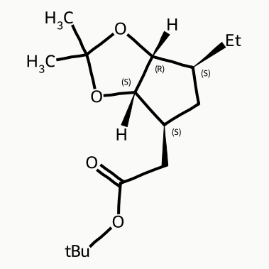 CC[C@H]1C[C@@H](CC(=O)OC(C)(C)C)[C@@H]2OC(C)(C)O[C@H]12